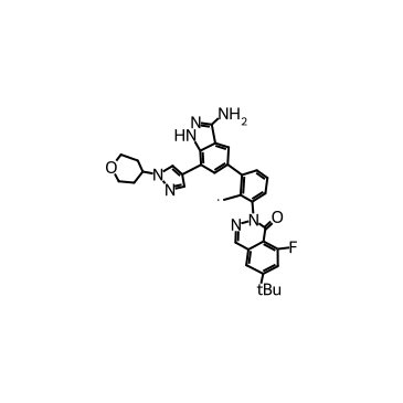 [CH2]c1c(-c2cc(-c3cnn(C4CCOCC4)c3)c3[nH]nc(N)c3c2)cccc1-n1ncc2cc(C(C)(C)C)cc(F)c2c1=O